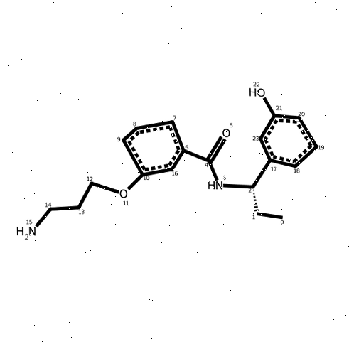 C[CH][C@H](NC(=O)c1cccc(OCCCN)c1)c1cccc(O)c1